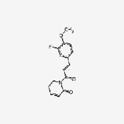 COc1ccc(/C=C/C(=O)N2CCC=CC2=O)cc1F